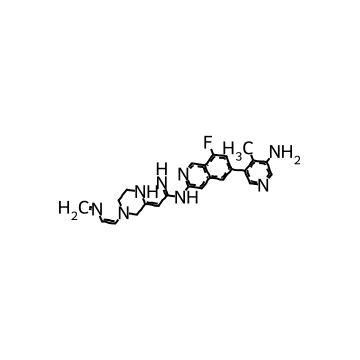 C=N/C=C\N1CCN/C(=C\C(=N)Nc2cc3cc(-c4cncc(N)c4C)cc(F)c3cn2)C1